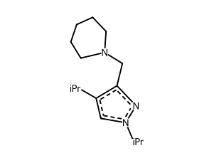 CC(C)c1cn(C(C)C)nc1CN1CCCCC1